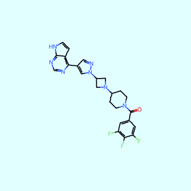 O=C(c1cc(F)c(F)c(F)c1)N1CCC(N2C[C](n3cc(-c4ncnc5[nH]ccc45)cn3)C2)CC1